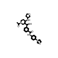 CC(=O)N1CCC(NC2CCOC2)=C(C(=N)c2cccc(C(=O)Nc3ccc(-n4ccnc4)cc3)c2)C1